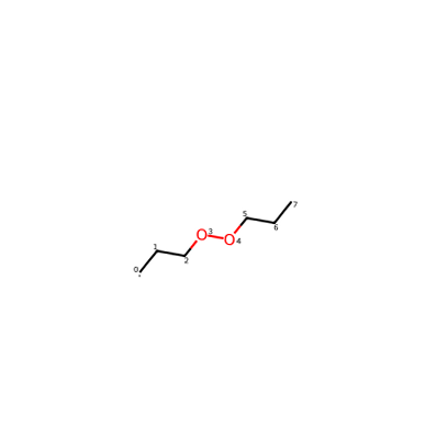 [CH2]CCOOCCC